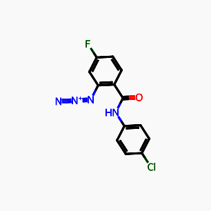 [N-]=[N+]=Nc1cc(F)ccc1C(=O)Nc1ccc(Cl)cc1